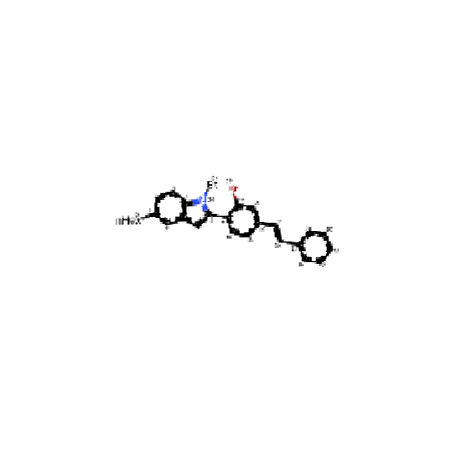 CCCCCCc1ccc2c(c1)cc(-c1ccc(/C=C/c3ccccc3)cc1Br)n2CC